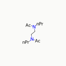 CCCN(CCN(CCC)C(C)=O)C(C)=O